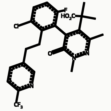 Cc1nn(C)c(=O)c(-c2c(F)ccc(Cl)c2CCc2ccc(C(F)(F)F)nc2)c1C(C)(C)C(=O)O